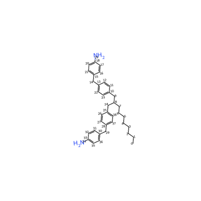 CCCCCCCCC(Cc1ccc(Cc2ccc(N)cc2)cc1)Cc1ccc(Cc2ccc(N)cc2)cc1